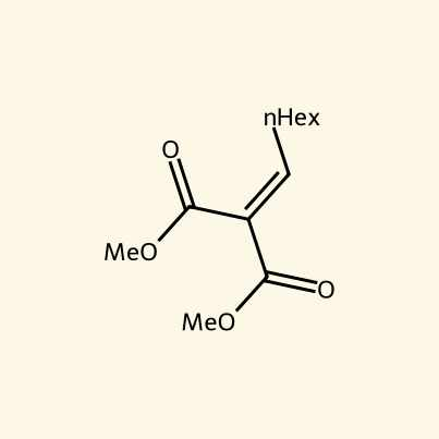 CCCCCCC=C(C(=O)OC)C(=O)OC